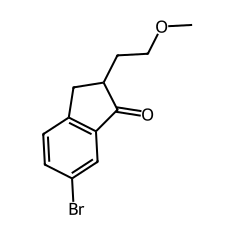 COCCC1Cc2ccc(Br)cc2C1=O